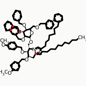 CCCCCCCCCCCCCC[C@@H](OCc1ccc(OC)cc1)[C@@H](OCc1ccc(OC)cc1)[C@H](CO[C@H]1OC(COCc2ccccc2)[C@H](OCc2ccccc2)[C@@H](OCc2ccccc2)[C@@H]1OCc1ccccc1)n1cc(CCCCCCCc2ccccc2)nn1